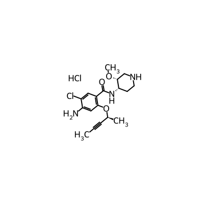 CC#C[C@H](C)Oc1cc(N)c(Cl)cc1C(=O)N[C@H]1CCNC[C@H]1OC.Cl